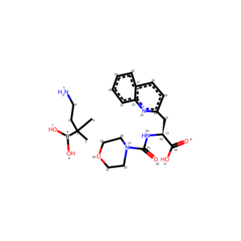 CC(C)(CCN)B(O)O.O=C(O)[C@H](Cc1ccc2ccccc2n1)NC(=O)N1CCOCC1